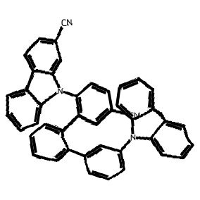 N#Cc1ccc(-n2c3ccccc3c3ccc(C#N)cc32)c(-c2ccccc2-c2cccc(-n3c4ccccc4c4ccccc43)c2)c1